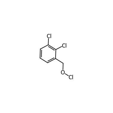 ClOCc1cccc(Cl)c1Cl